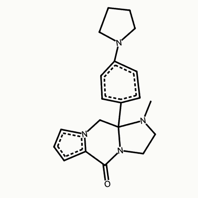 CN1CCN2C(=O)c3cccn3CC12c1ccc(N2CCCC2)cc1